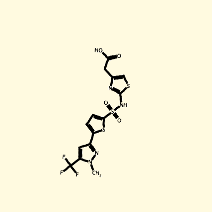 Cn1nc(-c2ccc(S(=O)(=O)Nc3nc(CC(=O)O)cs3)s2)cc1C(F)(F)F